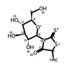 CC(=O)C1SC(=S)N(C2O[C@H](CO)[C@@H](O)[C@H](O)[C@H]2O)C1=O